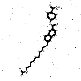 CCC(=O)OCCCCCCCCCOc1ccc2cc(C(=O)Oc3ccc(C(=O)OC)cc3)ccc2c1